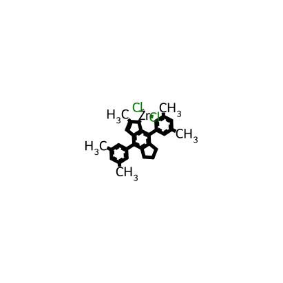 CC1=Cc2c(-c3cc(C)cc(C)c3)c3c(c(-c4cc(C)cc(C)c4)c2[CH]1[Zr]([Cl])[Cl])CCC3